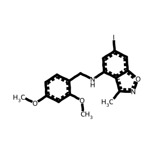 COc1ccc(CNc2cc(I)cc3onc(C)c23)c(OC)c1